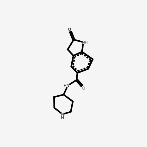 O=C1Cc2cc(C(=O)NC3CCNCC3)ccc2N1